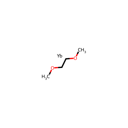 COCCOC.[Yb]